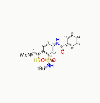 CN/C=C(\S)c1ccc(NC(=O)c2ccccc2)cc1S(=O)(=O)NC(C)(C)C